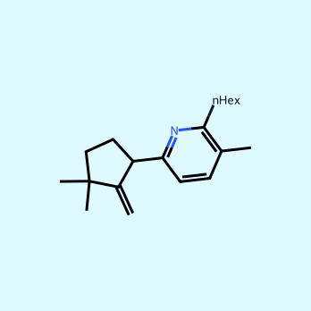 C=C1C(c2ccc(C)c(CCCCCC)n2)CCC1(C)C